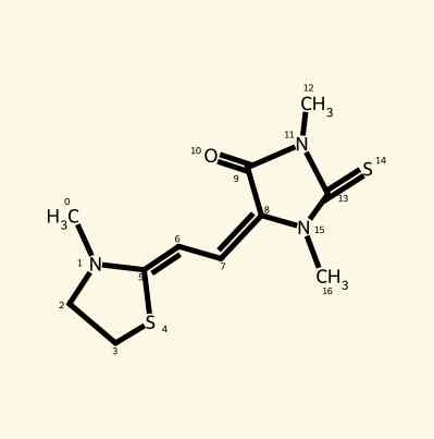 CN1CCSC1=CC=C1C(=O)N(C)C(=S)N1C